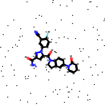 N#Cc1cc(-n2nc(C(N)=O)cc2C(=O)N2CCc3cc(-n4ccccc4=O)ccc32)ccc1F